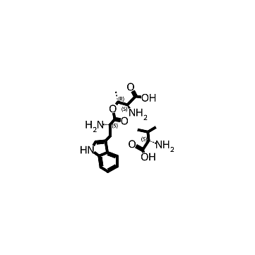 CC(C)[C@H](N)C(=O)O.C[C@@H](OC(=O)[C@@H](N)Cc1c[nH]c2ccccc12)[C@H](N)C(=O)O